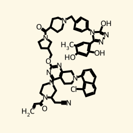 C=CC(=O)N1CCN(c2nc(OCC3CCN(C(=O)C4CCN(Cc5ccc(-n6c(O)nnc6-c6cc(C)c(O)cc6O)cc5)CC4)C3)nc3c2CCN(c2cccc4cccc(Cl)c24)C3)CC1CC#N